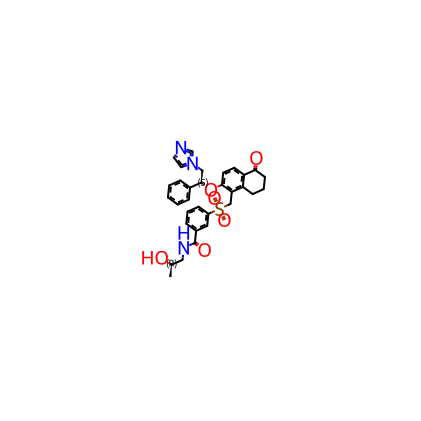 C[C@@H](O)CNC(=O)c1cccc(S(=O)(=O)Cc2c(O[C@H](Cn3ccnc3)c3ccccc3)ccc3c2CCCC3=O)c1